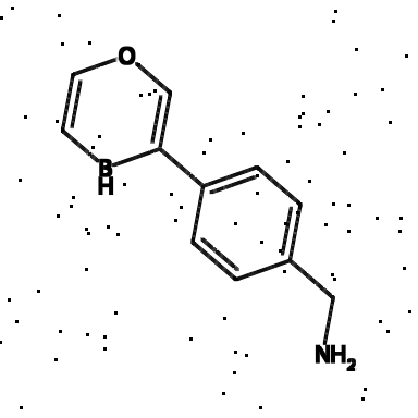 NCc1ccc(C2=COC=CB2)cc1